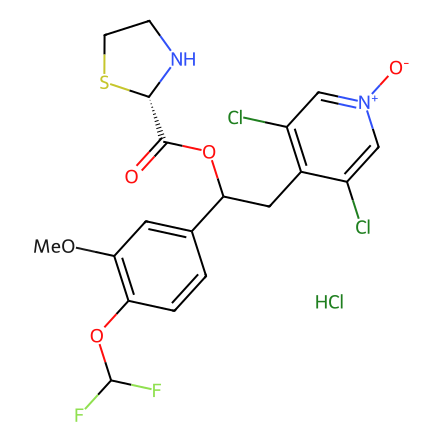 COc1cc(C(Cc2c(Cl)c[n+]([O-])cc2Cl)OC(=O)[C@H]2NCCS2)ccc1OC(F)F.Cl